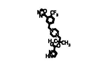 CC(C)(CN1CCN(Cc2ccc(C(F)(F)F)c(-c3nnco3)c2)CC1)OC(=O)c1cc[nH]n1